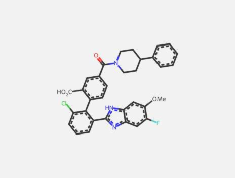 COc1cc2[nH]c(-c3cccc(Cl)c3-c3ccc(C(=O)N4CCC(c5ccccc5)CC4)cc3C(=O)O)nc2cc1F